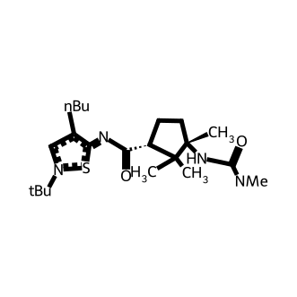 CCCCc1cn(C(C)(C)C)sc1=NC(=O)[C@@H]1CC[C@](C)(NC(=O)NC)C1(C)C